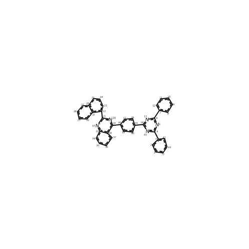 c1ccc(-c2nc(-c3ccccc3)nc(-c3ccc(-c4nc(-c5cccc6ccccc56)nc5ccccc45)cc3)n2)cc1